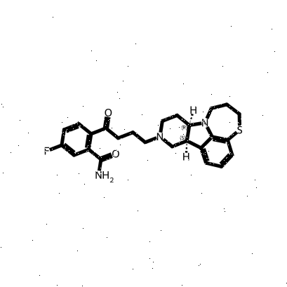 NC(=O)c1cc(F)ccc1C(=O)CCCN1CC[C@@H]2[C@H](C1)c1cccc3c1N2CCCS3